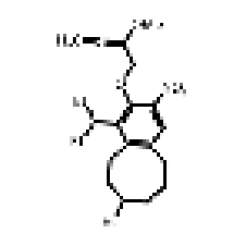 C=C=C(COc1c([N+](=O)[O-])cc2c(c1C(CC)CC)CCC(CC)CCC2)OC